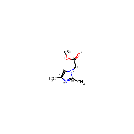 CCCCOC(=O)Cn1cc(C(F)(F)F)nc1C